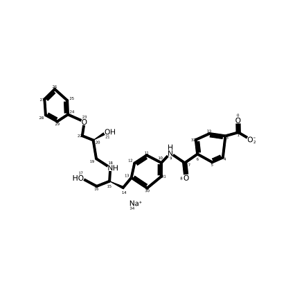 O=C([O-])c1ccc(C(=O)Nc2ccc(C[C@@H](CO)NC[C@H](O)COc3ccccc3)cc2)cc1.[Na+]